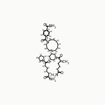 CC(CCCC(N)=O)C(=O)N1CCCCC1.NC(=O)CCCCC(=O)N1CCCC1.NC(=O)c1ccc(C(=O)N2CCCCCCCCCC2)cc1